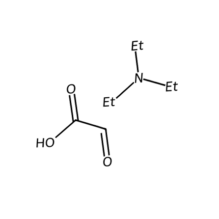 CCN(CC)CC.O=CC(=O)O